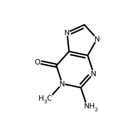 Cn1c(N)nc2c(c1=O)N=C[N]2